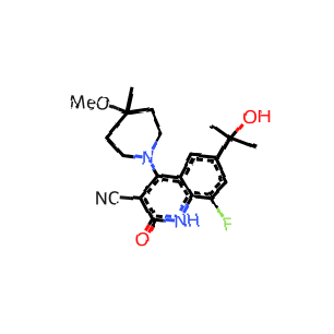 COC1(C)CCN(c2c(C#N)c(=O)[nH]c3c(F)cc(C(C)(C)O)cc23)CC1